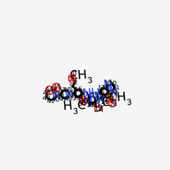 COCCc1cc(Nc2ncc(Br)c(Nc3ccc4nccnc4c3P(C)(C)=O)n2)c(OC)cc1N1CCC(N2CCCCOC2=O)CC1